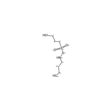 O=S(=O)(CCCS)ONCCCS